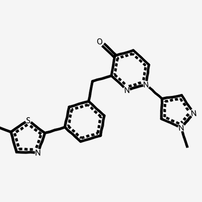 Cc1cnc(-c2cccc(Cc3nn(-c4cnn(C)c4)ccc3=O)c2)s1